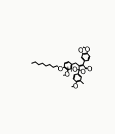 CCCCCCCCOc1ccc(CC2=C(c3ccc4c(c3)OCO4)C(=O)OC2(O)c2ccc(OC)c(C)c2)cc1OC